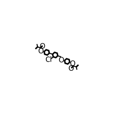 C=C(C)C(=O)Oc1ccc(OCc2ccc(-c3ccc(OC(=O)C(=C)C)cc3)c(Cl)c2)cc1